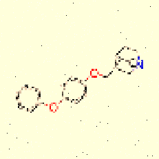 c1ccc(Oc2ccc(OCC3CN4CCC3CC4)cc2)cc1